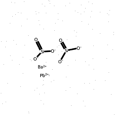 O=[Si]([O-])[O-].O=[Si]([O-])[O-].[Ba+2].[Pb+2]